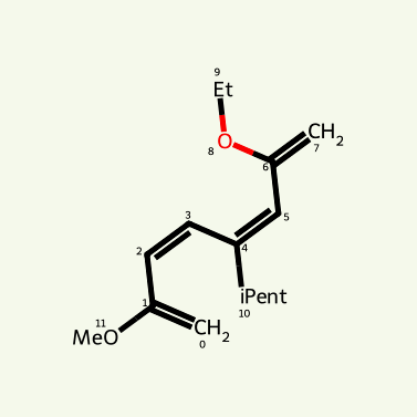 C=C(/C=C\C(=C/C(=C)OCC)C(C)CCC)OC